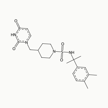 Cc1ccc(C(C)(C)NS(=O)(=O)N2CCC(Cn3ccc(=O)[nH]c3=O)CC2)cc1C